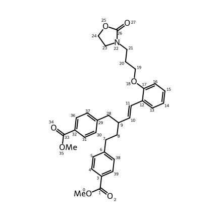 COC(=O)c1ccc(CCC(C=Cc2ccccc2OCCCN2CCOC2=O)Cc2ccc(C(=O)OC)cc2)cc1